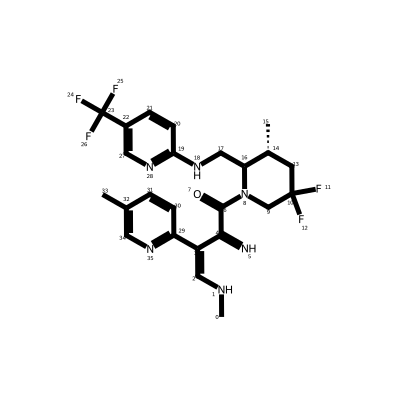 CN/C=C(\C(=N)C(=O)N1CC(F)(F)C[C@@H](C)C1CNc1ccc(C(F)(F)F)cn1)c1ccc(C)cn1